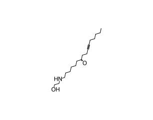 CCCCCC#CCCC(=O)CCCCCCNCCO